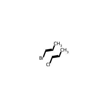 CC=CBr.CC=CCl